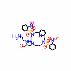 NCCNC(C=O)CN1CCCN(S(=O)(=O)c2ccccc2[N+](=O)[O-])Cc2cccc(n2)CN(S(=O)(=O)c2ccccc2[N+](=O)[O-])CC1